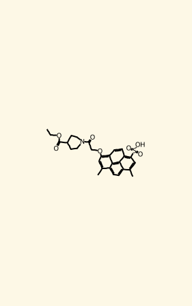 CCOC(=O)C1CCN(C(=O)COc2cc(C)c3ccc4c(C)cc(S(=O)(=O)O)c5ccc2c3c45)CC1